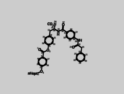 CCCCCCCOc1ccc(C(=O)Oc2ccc(C[C@H](NC(=O)c3ccc(NC(=O)Cc4ccccc4)cc3)C(=O)O)cc2)cc1